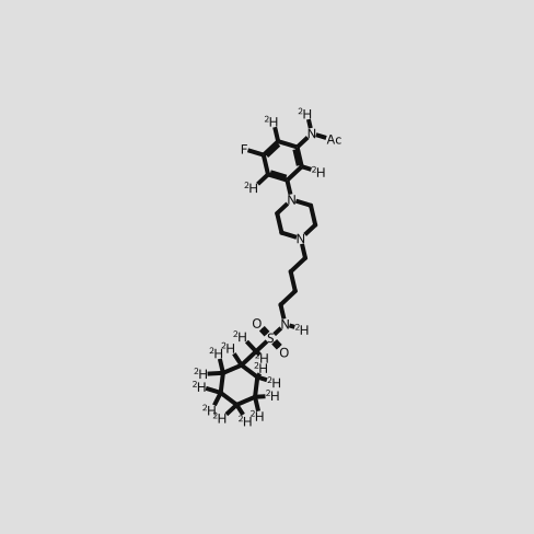 [2H]c1c(F)c([2H])c(N([2H])C(C)=O)c([2H])c1N1CCN(CCCCN([2H])S(=O)(=O)C([2H])([2H])C2([2H])C([2H])([2H])C([2H])([2H])C([2H])([2H])C([2H])([2H])C2([2H])[2H])CC1